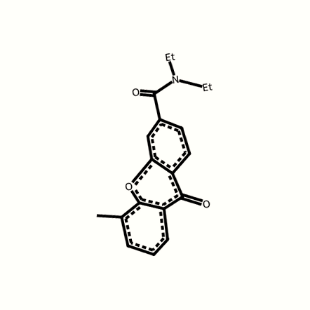 CCN(CC)C(=O)c1ccc2c(=O)c3cccc(C)c3oc2c1